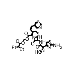 CCC(CC)C(=O)OCOC(=O)C1=C(/C=C\c2cncnc2)CS[C@H]2[C@H](NC(=O)/C(=N\O)c3csc(N)n3)C(=O)N12